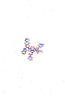 CS(=O)(=O)N[C@H](CCC1CCNCC1)C(=O)N1C[C@H](OC(=O)N2CCCCC2)C[C@H]1C(=O)N[C@@H](C[C@H]1CC[C@H](CN)CC1)C(=O)c1nc2ccccc2o1